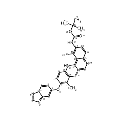 Cc1c(Oc2ccn3ncnc3c2)ccc(Nc2ncnc3ccc(NC(=O)OC(C)(C)C)c(F)c23)c1F